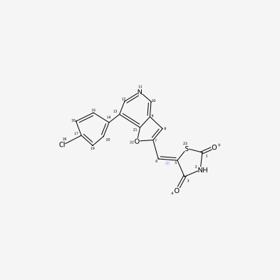 O=C1NC(=O)/C(=C/c2cc3cncc(-c4ccc(Cl)cc4)c3o2)S1